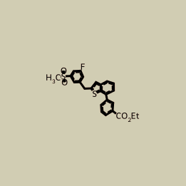 CCOC(=O)c1cccc(-c2cccc3cc(Cc4cc(F)cc(S(C)(=O)=O)c4)sc23)c1